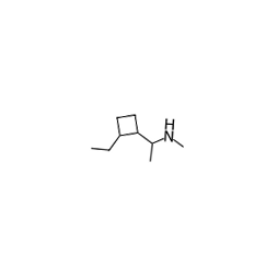 CCC1CCC1C(C)NC